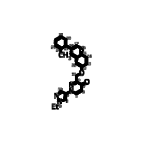 CCn1cc(-n2ccc(=O)c(COc3ccc4ncc(-c5ccccc5C)cc4c3)n2)cn1